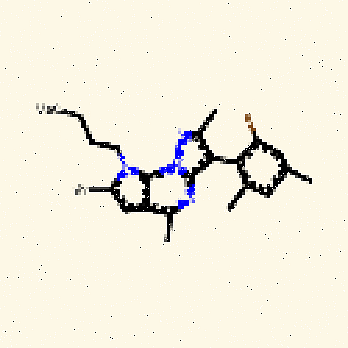 CCCc1cc2c(C)nc3c(-c4c(C)cc(C)cc4Br)c(C)nn3c2n1CCCOC